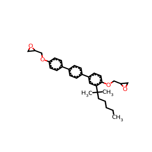 CCCCCC(C)(C)c1cc(-c2ccc(-c3ccc(OCC4CO4)cc3)cc2)ccc1OCC1CO1